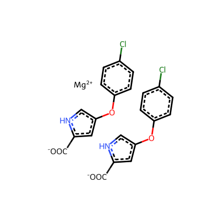 O=C([O-])c1cc(Oc2ccc(Cl)cc2)c[nH]1.O=C([O-])c1cc(Oc2ccc(Cl)cc2)c[nH]1.[Mg+2]